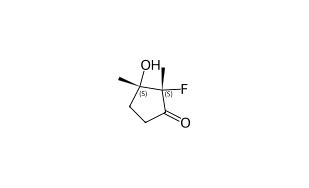 C[C@]1(O)CCC(=O)[C@@]1(C)F